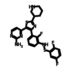 Nc1nccc(-c2sc(C3CCCNC3)nc2-c2cccc(NSc3cc(F)ccc3F)c2F)n1